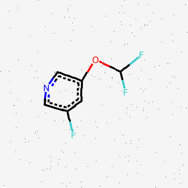 Fc1cn[c]c(OC(F)F)c1